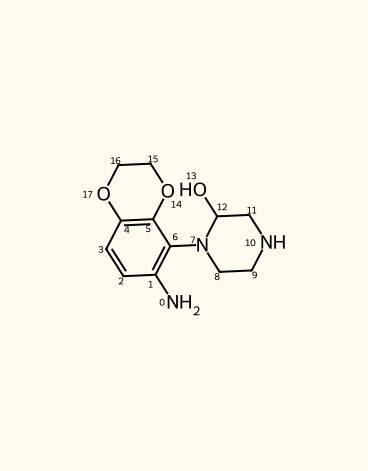 Nc1ccc2c(c1N1CCNCC1O)OCCO2